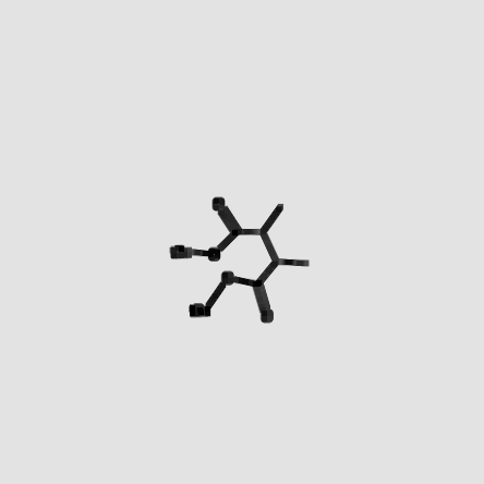 CC(C(=O)OC(C)(C)C)C(C)C(=O)OC(C)(C)C